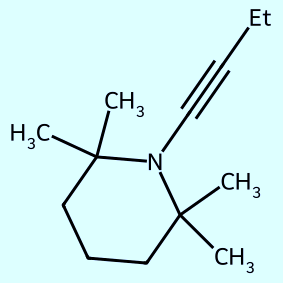 CCC#CN1C(C)(C)CCCC1(C)C